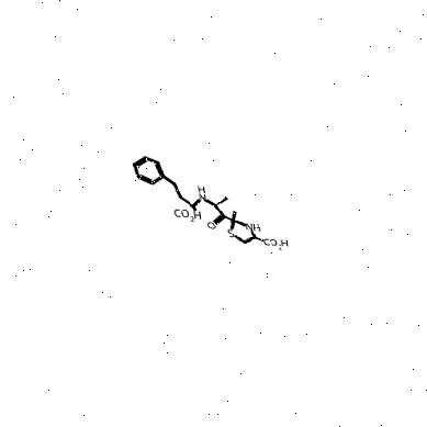 C[C@H](NC(CCc1ccccc1)C(=O)O)C(=O)C1(C)NC(C(=O)O)CS1